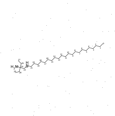 CCCCCCCCCCCCCCCCCCCCCCNCC(N)(CC)CC